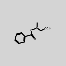 CN(CC(=O)O)OC(=O)c1ccccc1